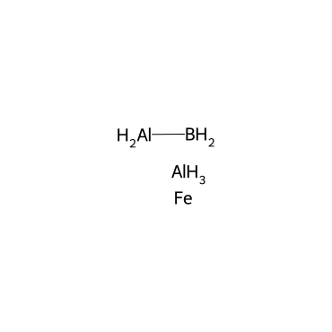 [AlH3].[BH2][AlH2].[Fe]